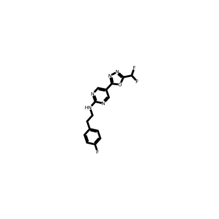 Fc1ccc(CCNc2ncc(-c3nnc(C(F)F)o3)cn2)cc1